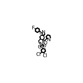 O=C(c1ccccn1)C12Cc3cnn(-c4ccc(F)cc4)c3C=C1CCN(S(=O)(=O)c1ccc(Cl)c(Cl)c1)C2